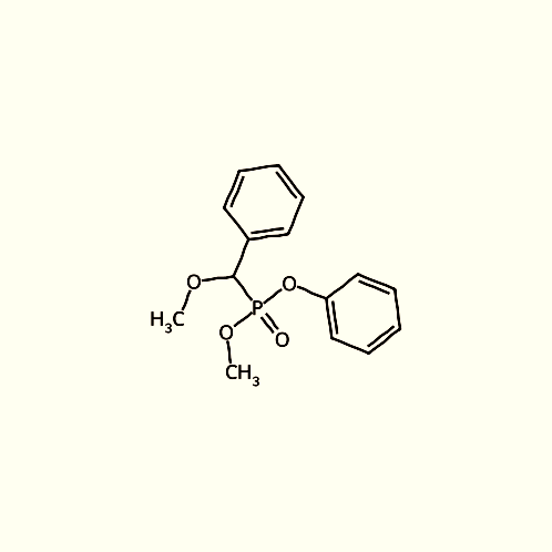 COC(c1ccccc1)P(=O)(OC)Oc1ccccc1